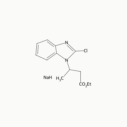 CCOC(=O)CC(C)n1c(Cl)nc2ccccc21.[NaH]